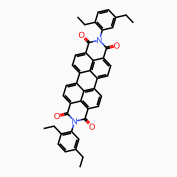 CCc1ccc(CC)c(N2C(=O)c3ccc4c5ccc6c7c(ccc(c8ccc(c3c48)C2=O)c75)C(=O)N(c2cc(CC)ccc2CC)C6=O)c1